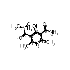 Cc1nc(C)c(C(=O)N(C)C)c(O)c1C(N)=O